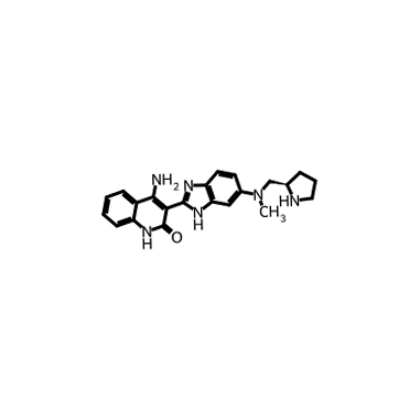 CN(C[C@H]1CCCN1)c1ccc2nc(-c3c(N)c4ccccc4[nH]c3=O)[nH]c2c1